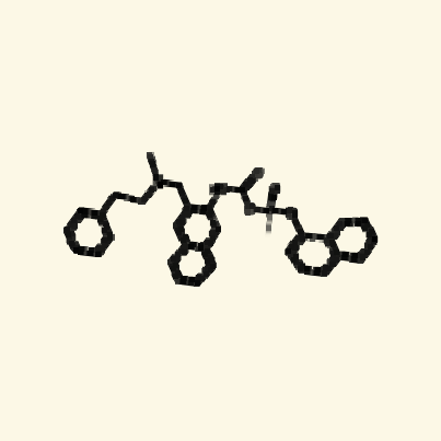 CN(CCc1ccccc1)Cc1cc2ccccc2cc1NC(=O)OP(C)(=O)Oc1cccc2ccccc12